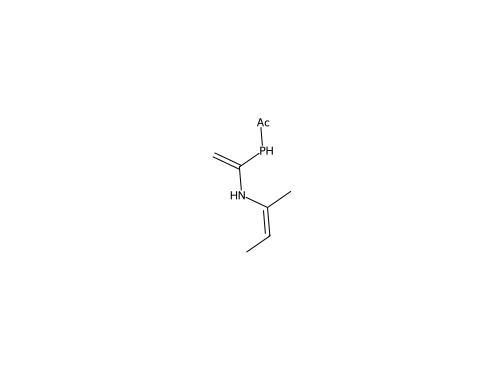 C=C(N/C(C)=C\C)PC(C)=O